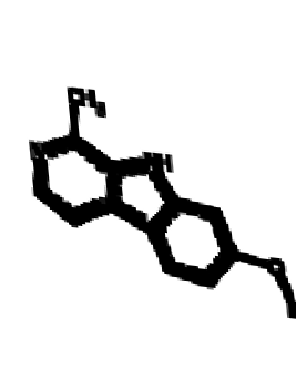 CCOc1ccc2c(c1)[nH]c1c(C)nccc12